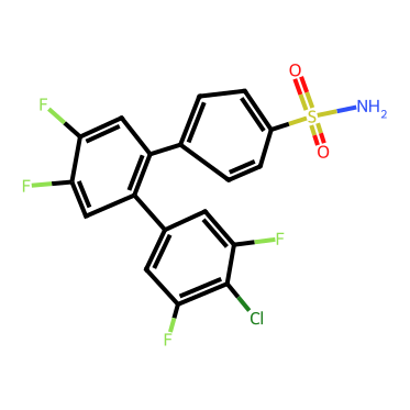 NS(=O)(=O)c1ccc(-c2cc(F)c(F)cc2-c2cc(F)c(Cl)c(F)c2)cc1